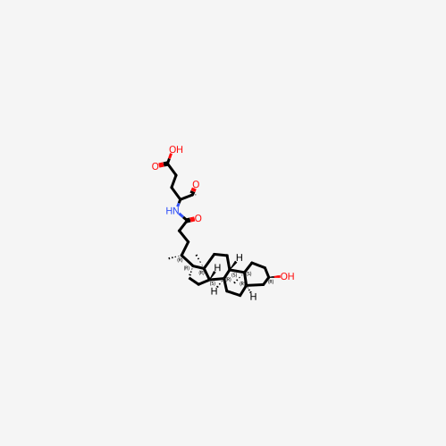 C[C@H](CCC(=O)NC([C]=O)CCC(=O)O)[C@H]1CC[C@H]2[C@@H]3CC[C@@H]4C[C@H](O)CC[C@]4(C)[C@H]3CC[C@]12C